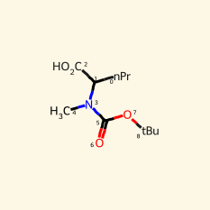 CCCC(C(=O)O)N(C)C(=O)OC(C)(C)C